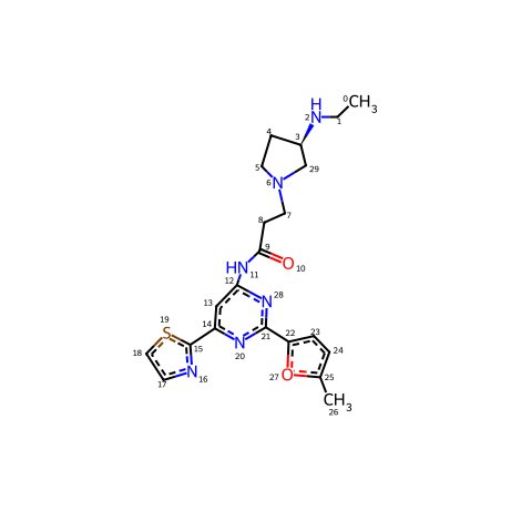 CCN[C@@H]1CCN(CCC(=O)Nc2cc(-c3nccs3)nc(-c3ccc(C)o3)n2)C1